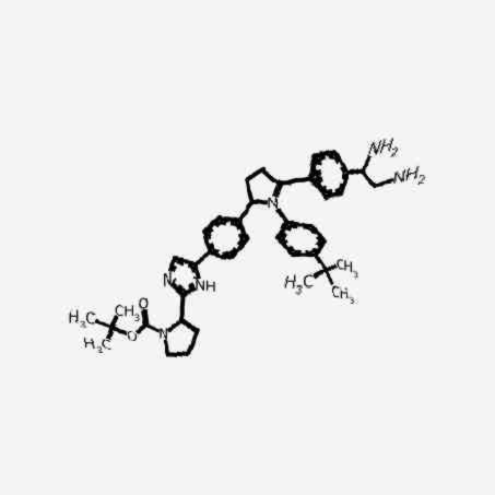 CC(C)(C)OC(=O)N1CCCC1c1ncc(-c2ccc(C3CCC(c4ccc(C(N)CN)cc4)N3c3ccc(C(C)(C)C)cc3)cc2)[nH]1